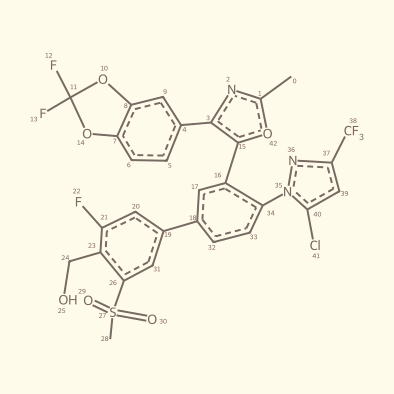 Cc1nc(-c2ccc3c(c2)OC(F)(F)O3)c(-c2cc(-c3cc(F)c(CO)c(S(C)(=O)=O)c3)ccc2-n2nc(C(F)(F)F)cc2Cl)o1